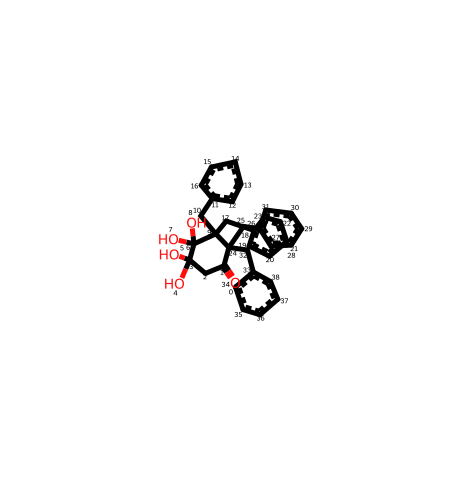 O=C1CC(O)(O)C(O)(O)C(Cc2ccccc2)(Cc2ccccc2)C1(Cc1ccccc1)Cc1ccccc1